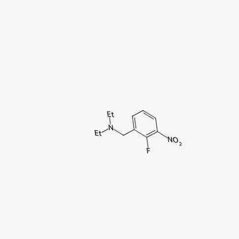 CCN(CC)Cc1cccc([N+](=O)[O-])c1F